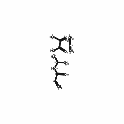 C=C(C)C(=O)O.C=C=C.C=CC(=O)NC(C)C